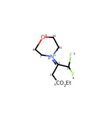 CCOC(=O)CC(C(F)F)=[N+]1CCOCC1